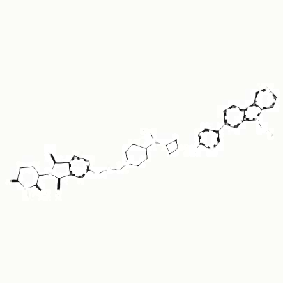 Cn1c2ccncc2c2ccc(-c3ccc(O[C@H]4C[C@H](N(C)C5CCN(CCOc6ccc7c(c6)C(=O)N(C6CCC(=O)NC6=O)C7=O)CC5)C4)nc3)cc21